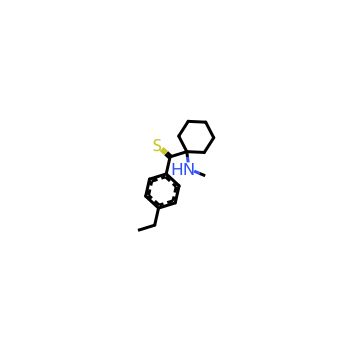 CCc1ccc(C(=S)C2(NC)CCCCC2)cc1